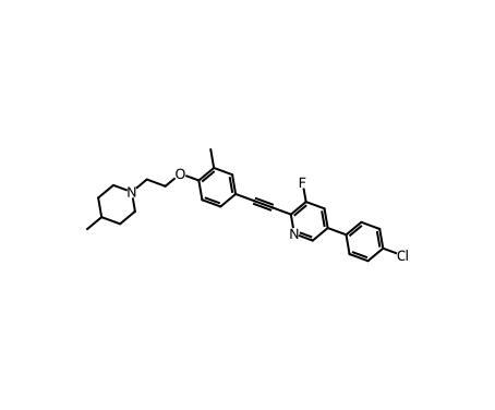 Cc1cc(C#Cc2ncc(-c3ccc(Cl)cc3)cc2F)ccc1OCCN1CCC(C)CC1